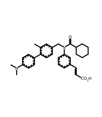 Cc1cc(CN(C(=O)C2CCCCC2)c2cccc(C=CC(=O)O)c2)ccc1-c1ccc(N(C)C)cc1